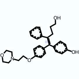 OCCC/C(=C(\c1ccc(O)cc1)c1ccc(OCCN2CCOCC2)cc1)c1ccccc1